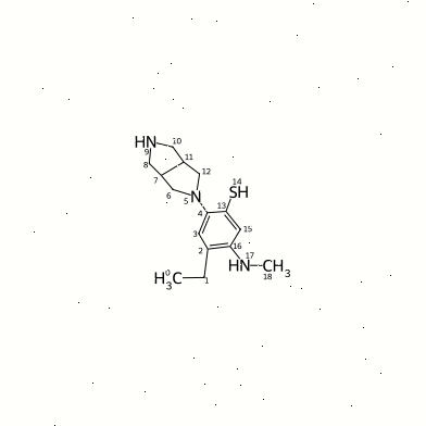 CCc1cc(N2CC3CNCC3C2)c(S)cc1NC